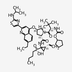 C=C[C@@H]1C[C@]1(NC(=O)[C@@H]1C[C@@H](Oc2cc(-c3csc(NC(C)C)n3)nc3cc(CC)ccc23)CN1C(=O)[C@@H](NC(=O)OC1CCCC1)C(C)(C)C)P(=O)(O)CCCC